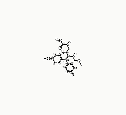 COCC(C)c1c(C[C@H](C)C(=O)OC)nc2cc(O)ccc2c1-c1ccc(F)cc1